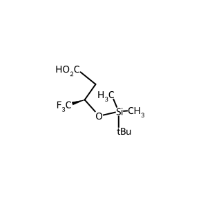 CC(C)(C)[Si](C)(C)O[C@H](CC(=O)O)C(F)(F)F